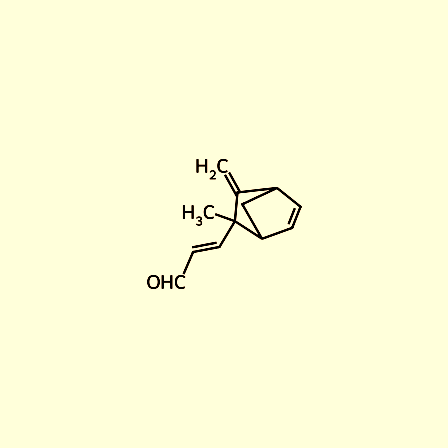 C=C1C2C=CC(C2)C1(C)/C=C/C=O